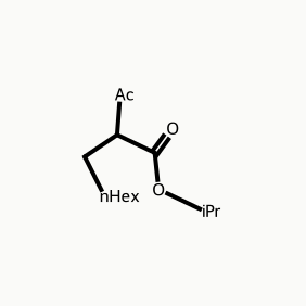 CCCCCCCC(C(C)=O)C(=O)OC(C)C